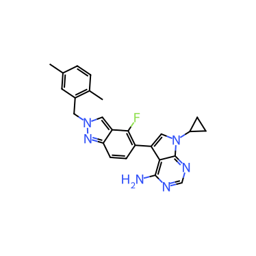 Cc1ccc(C)c(Cn2cc3c(F)c(-c4cn(C5CC5)c5ncnc(N)c45)ccc3n2)c1